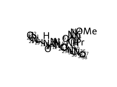 COc1nnc(C(=O)Nc2cc(-n3cc(C(=O)NCCCN4CCOCC4)nn3)ccc2N2CCN(C3CCCC3)CC2)c(C(C)C)n1